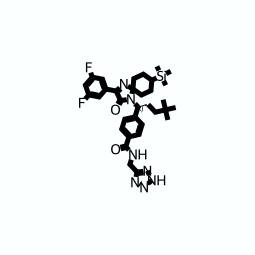 CC(C)(C)CC[C@H](c1ccc(C(=O)NCc2nn[nH]n2)cc1)N1C(=O)C(c2cc(F)cc(F)c2)=NC12CCC([Si](C)(C)C)CC2